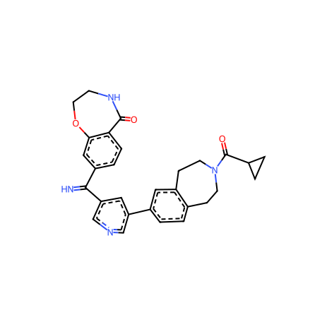 N=C(c1cncc(-c2ccc3c(c2)CCN(C(=O)C2CC2)CC3)c1)c1ccc2c(c1)OCCNC2=O